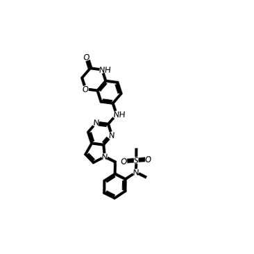 CN(c1ccccc1Cn1ccc2cnc(Nc3ccc4c(c3)OCC(=O)N4)nc21)S(C)(=O)=O